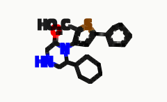 O=C(O)c1sc(-c2ccccc2)cc1N1C(=O)CNCC1C1CCCCC1